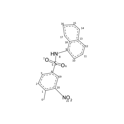 Cc1ccc(S(=O)(=O)Nc2cccc3ccccc23)cc1[N+](=O)[O-]